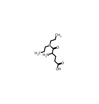 CCCN(CCC)C(=O)C(N)CCC(=O)O